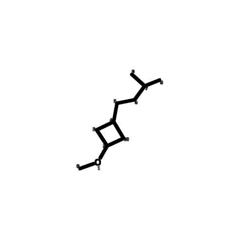 COC1CC(CCC(C)C)C1